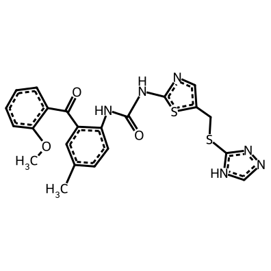 COc1ccccc1C(=O)c1cc(C)ccc1NC(=O)Nc1ncc(CSc2nnc[nH]2)s1